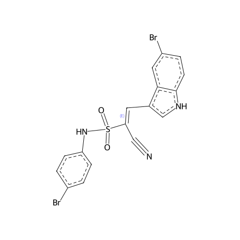 N#C/C(=C\c1c[nH]c2ccc(Br)cc12)S(=O)(=O)Nc1ccc(Br)cc1